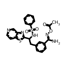 CC(=O)ON=C(N)c1cccc(CC(NS(=O)(=O)c2ccccc2)c2nc3cnccc3s2)c1